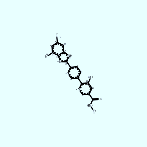 CCNC(=O)c1cnc(-c2ccc(-c3nc4c(Br)cc(C(F)(F)F)cc4[nH]3)nc2)c(Cl)c1